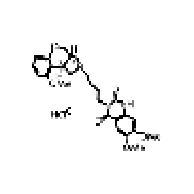 COc1cc2[nH]c(=O)n(CCCCN3C[C@@H]4COc5cccc(OC)c5[C@H]4C3)c(=O)c2cc1OC.Cl.Cl